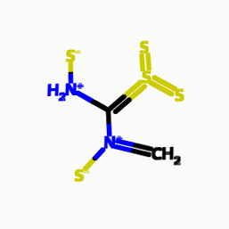 C=[N+]([S-])C([NH2+][S-])=S(=S)=S